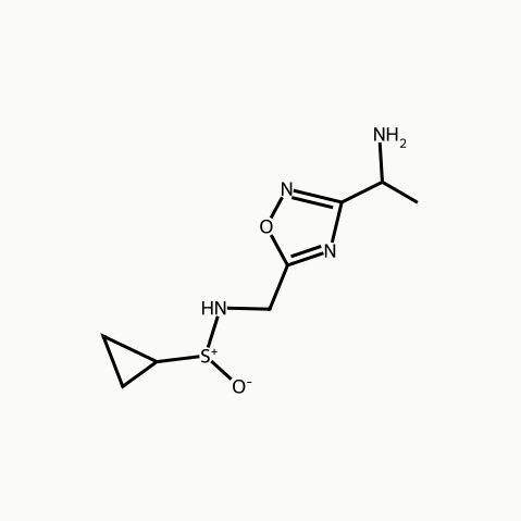 CC(N)c1noc(CN[S+]([O-])C2CC2)n1